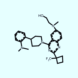 CN(C)c1ccccc1C1CCN(c2nc(C3(C(F)(F)F)CCC3)nc3ccc(N(C)CCO)cc23)CC1